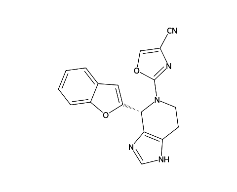 N#Cc1coc(N2CCc3[nH]cnc3[C@@H]2c2cc3ccccc3o2)n1